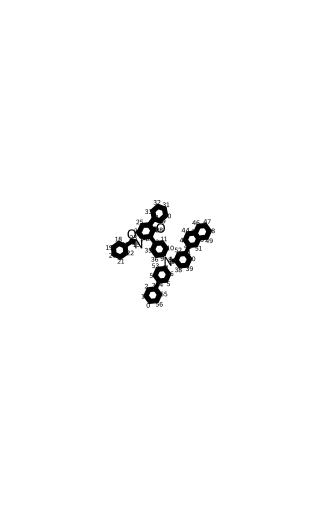 c1ccc(-c2ccc(N(c3ccc(-c4c5nc(-c6ccccc6)oc5cc5c4oc4ccccc45)cc3)c3cccc(-c4ccc5ccccc5c4)c3)cc2)cc1